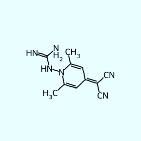 CC1=CC(=C(C#N)C#N)C=C(C)N1NC(=N)N